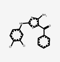 Nc1nc(Nc2ccc(Cl)c(Cl)c2)sc1C(=O)c1ccccc1